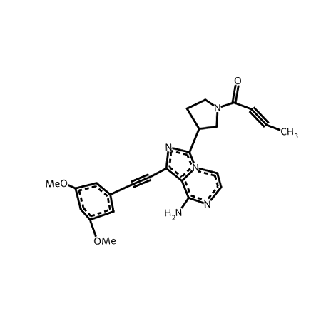 CC#CC(=O)N1CCC(c2nc(C#Cc3cc(OC)cc(OC)c3)c3c(N)nccn23)C1